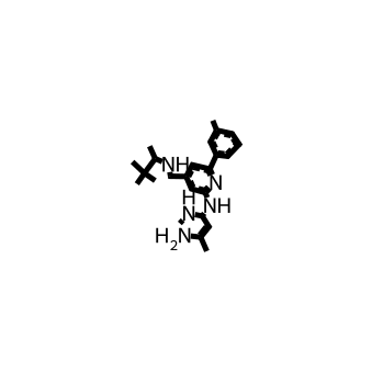 CNC(/C=C(/C)N)Nc1cc(CNC(C)C(C)(C)C)cc(-c2cccc(C)c2)n1